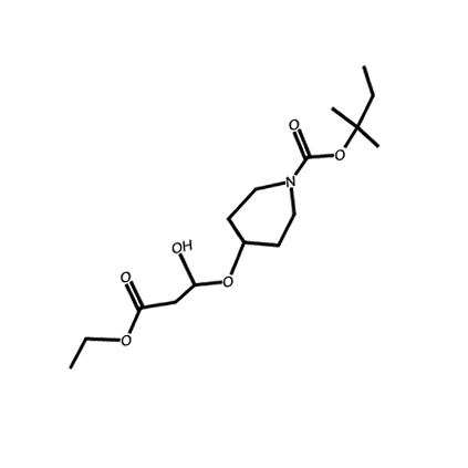 CCOC(=O)CC(O)OC1CCN(C(=O)OC(C)(C)CC)CC1